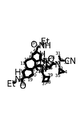 CCNC(=O)c1ccc2c(c1)CCc1cc(C(=O)NCC)ccc1C2(C[C@H](NCC(=O)N(C(C)C#N)C1CC1)C1CCC1)c1nnn[nH]1